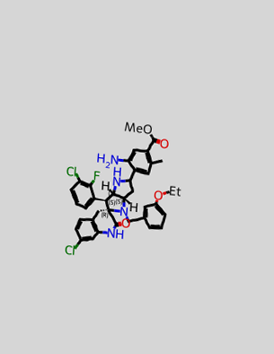 CCOc1cccc(CN2[C@H]3CC(c4cc(C)c(C(=O)OC)cc4N)N[C@H]3[C@H](c3cccc(Cl)c3F)[C@@]23Cc2ccc(Cl)cc2NC3=O)c1